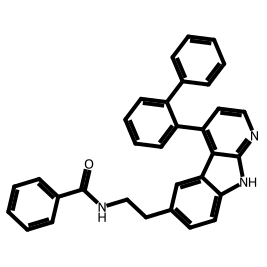 O=C(NCCc1ccc2[nH]c3nccc(-c4ccccc4-c4ccccc4)c3c2c1)c1ccccc1